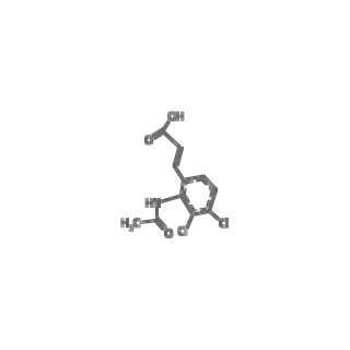 CC(=O)Nc1c(C=CC(=O)O)ccc(Cl)c1Cl